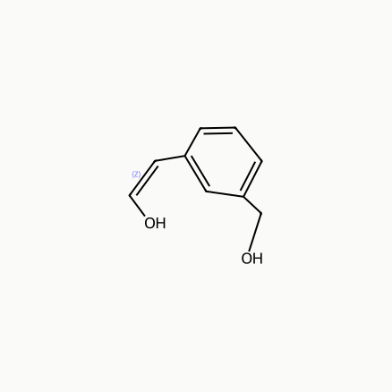 O/C=C\c1cccc(CO)c1